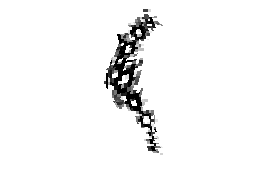 CCCCCCOC1CCC(c2ccc(-c3cc(F)c(C(F)(F)Oc4ccc(-c5ccc(OC(F)(F)F)cc5)c(F)c4)c(F)c3)c(F)c2)CC1